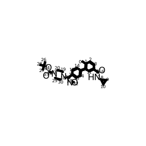 Cc1ccc(C(=O)NC2CC2)cc1-c1ccc2c(N3CCN(C(=O)OC(C)(C)C)CC3)noc2c1